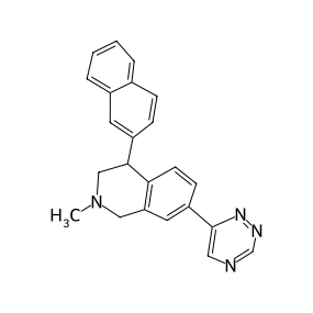 CN1Cc2cc(-c3cncnn3)ccc2C(c2ccc3ccccc3c2)C1